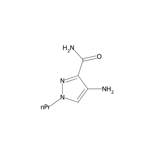 CCCn1cc(N)c(C(N)=O)n1